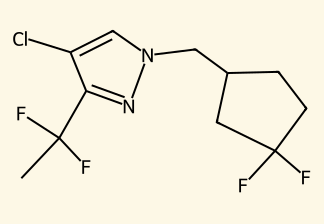 CC(F)(F)c1nn(CC2CCC(F)(F)C2)cc1Cl